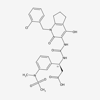 CN(c1cccc([C@H](CC(=O)O)NC(=O)Nc2c(O)c3c(n(Cc4ccccc4Cl)c2=O)CCC3)c1)S(C)(=O)=O